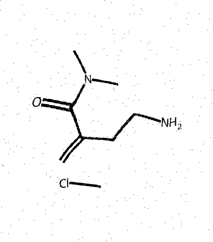 C=C(CCN)C(=O)N(C)C.CCl